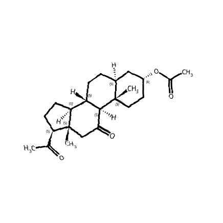 CC(=O)O[C@@H]1CC[C@@]2(C)[C@@H](CC[C@H]3[C@@H]4CC[C@H](C(C)=O)[C@@]4(C)CC(=O)[C@@H]32)C1